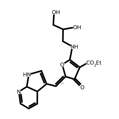 CCOC(=O)C1=C(NCC(O)CO)O/C(=C\C2=CNC3N=CC=CC23)C1=O